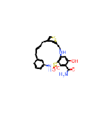 NC(=O)c1cc2c(cc1O)NCc1cc(cs1)C/C=C/Cc1cccc(c1)NS2(=O)=O